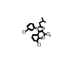 COC(=O)c1nc(CC(C)C)n(-c2cccc(Cl)c2)c1-c1cccc(Cl)c1F